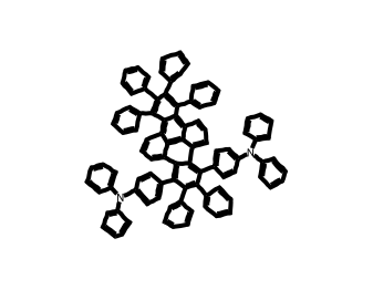 c1ccc(-c2c(-c3ccccc3)c(-c3ccccc3)c3c4cccc5c6c(-c7ccc(N(c8ccccc8)c8ccccc8)cc7)c(-c7ccccc7)c(-c7ccccc7)c(-c7ccc(N(c8ccccc8)c8ccccc8)cc7)c6c6cccc(c3c2-c2ccccc2)c6c45)cc1